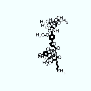 CCCCC[C@@H](C(=O)NCNC(=O)c1ccc(-c2ccc(C(=O)N[C@@H](CC(=O)OC(C)(C)C)C(=O)OC(C)(C)C)c(OCC)c2)o1)[C@@H](CC)N(C=O)OC(=O)c1ccc(OC)cc1Cl